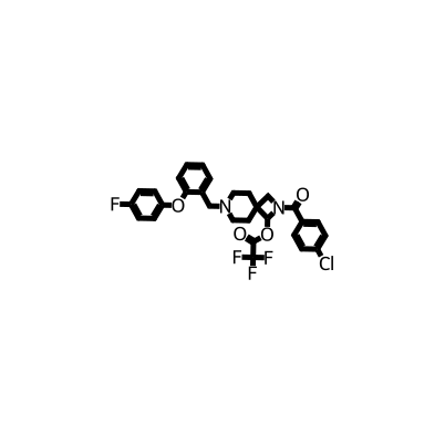 O=C(c1ccc(Cl)cc1)N1CC2(CCN(Cc3ccccc3Oc3ccc(F)cc3)CC2)C1OC(=O)C(F)(F)F